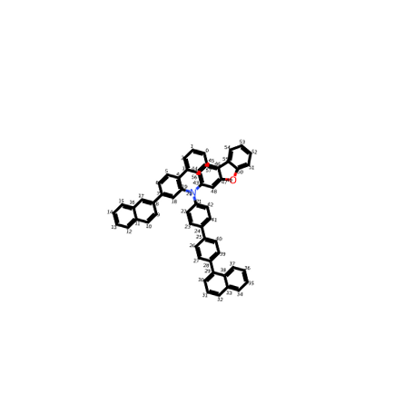 c1ccc(-c2ccc(-c3ccc4ccccc4c3)cc2N(c2ccc(-c3ccc(-c4cccc5ccccc45)cc3)cc2)c2ccc3c(c2)oc2ccccc23)cc1